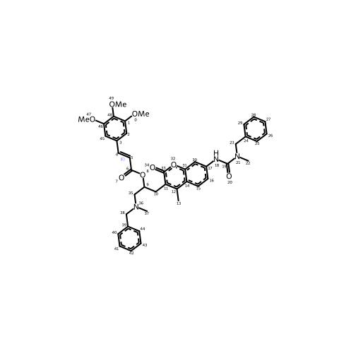 COc1cc(/C=C/C(=O)OC(Cc2c(C)c3ccc(NC(=O)N(C)Cc4ccccc4)cc3oc2=O)CN(C)Cc2ccccc2)cc(OC)c1OC